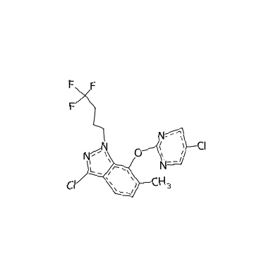 Cc1ccc2c(Cl)nn(CCCC(F)(F)F)c2c1Oc1ncc(Cl)cn1